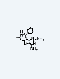 CC(N)Cc1nc2c(N)nc(N)nc2n1Cc1ccccc1